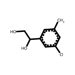 Cc1cc(Cl)cc(C(O)CO)c1